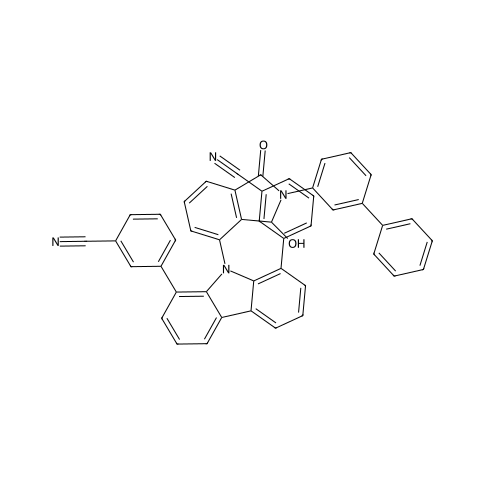 N#Cc1cccc(-c2cccc3c4cccc(-c5cccc(C#N)c5)c4n(-c4cccc5c4C(O)N(c4cccc(-c6ccccc6)c4)C5=O)c23)c1